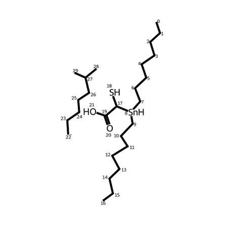 CCCCCCC[CH2][SnH]([CH2]CCCCCCC)[CH](S)C(=O)O.[CH2]CCCCC(C)C